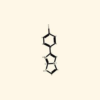 Ic1ccc(-c2cn3ccsc3n2)cc1